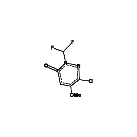 COc1cc(=O)n(C(F)F)nc1Cl